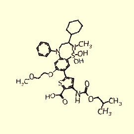 COCCOc1cc2c(cc1-c1cc(NC(=O)OCC(C)C)c(C(=O)O)s1)S(O)(O)N(C)C(C1CCCCC1)CN2c1ccccc1